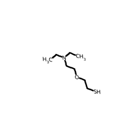 CCN(CC)CCOCCS